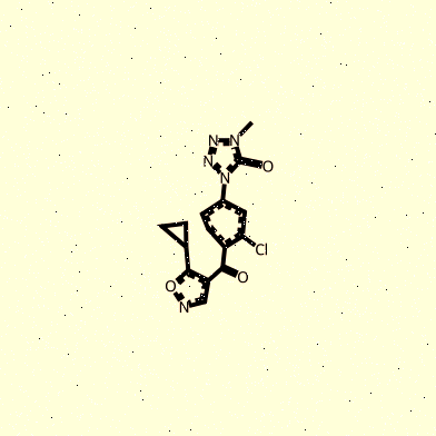 Cn1nnn(-c2ccc(C(=O)c3cnoc3C3CC3)c(Cl)c2)c1=O